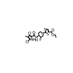 CCOC(=O)c1cnc(N2CCC(NC(=O)c3[nH]c(Cl)c(C)c3Cl)C(F)C2)s1